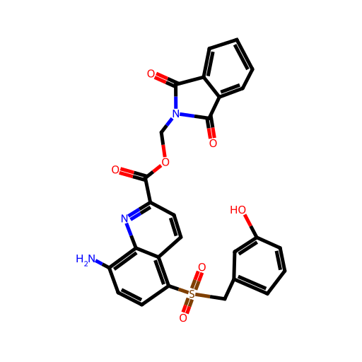 Nc1ccc(S(=O)(=O)Cc2cccc(O)c2)c2ccc(C(=O)OCN3C(=O)c4ccccc4C3=O)nc12